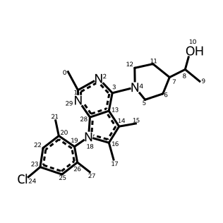 Cc1nc(N2CCC(C(C)O)CC2)c2c(C)c(C)n(-c3c(C)cc(Cl)cc3C)c2n1